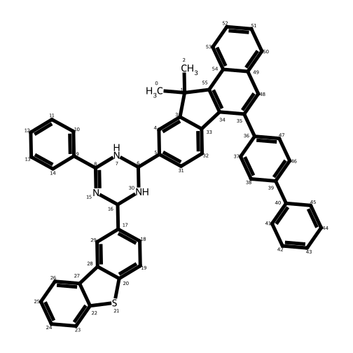 CC1(C)c2cc(C3NC(c4ccccc4)=NC(c4ccc5sc6ccccc6c5c4)N3)ccc2-c2c(-c3ccc(-c4ccccc4)cc3)cc3ccccc3c21